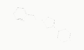 c1ccc(CO[C@@H]2CCN(C3CCOCC3)C2)nc1